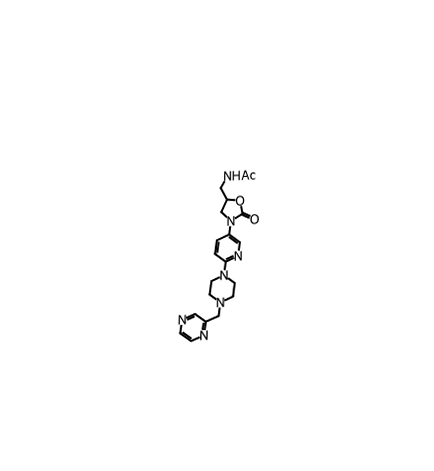 CC(=O)NCC1CN(c2ccc(N3CCN(Cc4cnccn4)CC3)nc2)C(=O)O1